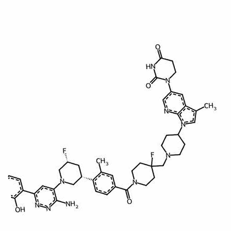 Cc1cc(C(=O)N2CCC(F)(CN3CCC(n4cc(C)c5cc(N6CCC(=O)NC6=O)cnc54)CC3)CC2)ccc1[C@H]1C[C@@H](F)CN(c2cc(-c3ccccc3O)nnc2N)C1